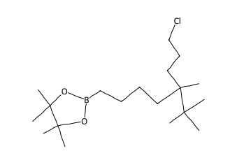 CC(C)(C)C(C)(CCCCl)CCCCB1OC(C)(C)C(C)(C)O1